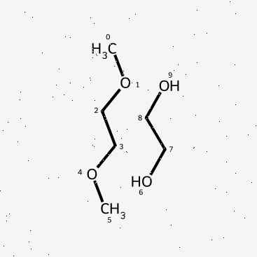 COCCOC.OCCO